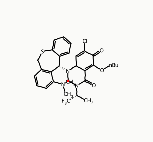 CCCCOC1=C2C(=O)N([C@H](C)C(F)(F)F)CN([C@H]3c4ccccc4SCc4cccc(N(C)C)c43)C2C=C(Cl)C1=O